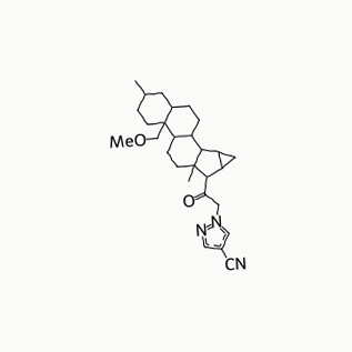 COCC12CCC(C)CC1CCC1C3C4CC4C(C(=O)Cn4cc(C#N)cn4)C3(C)CCC12